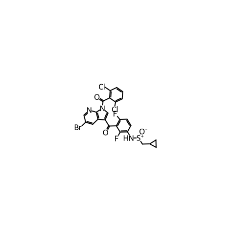 O=C(c1c(F)ccc(N[S+]([O-])CC2CC2)c1F)c1cn(C(=O)c2c(Cl)cccc2Cl)c2ncc(Br)cc12